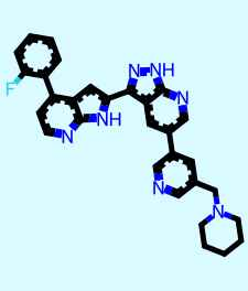 Fc1ccccc1-c1ccnc2[nH]c(-c3n[nH]c4ncc(-c5cncc(CN6CCCCC6)c5)cc34)cc12